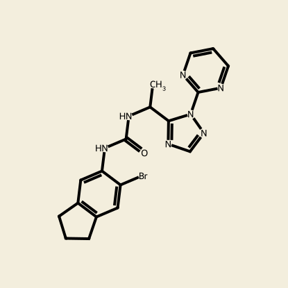 CC(NC(=O)Nc1cc2c(cc1Br)CCC2)c1ncnn1-c1ncccn1